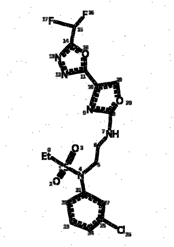 CCS(=O)(=O)N(CCNc1nc(-c2nnc(C(F)F)o2)co1)c1cccc(Cl)c1